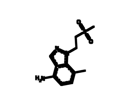 Cc1ccc(N)c2cnn(CCS(C)(=O)=O)c12